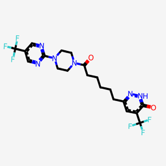 O=C(CCCCCc1cc(C(F)(F)F)c(=O)[nH]n1)N1CCN(c2ncc(C(F)(F)F)cn2)CC1